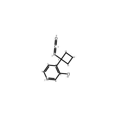 O=C=NC1(c2ccncc2Cl)CCC1